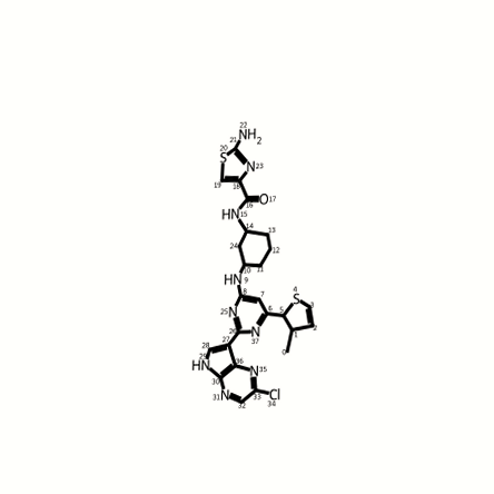 CC1C=CSC1c1cc(NC2CCCC(NC(=O)c3csc(N)n3)C2)nc(-c2c[nH]c3ncc(Cl)nc23)n1